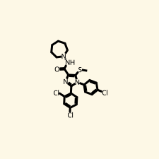 CSc1c(C(=O)NN2CCCCCC2)nc(-c2ccc(Cl)cc2Cl)n1-c1ccc(Cl)cc1